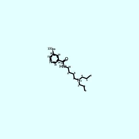 CCCN(CCC)CCCCNC(=O)c1cncc([131I])c1